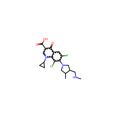 CNCC1CN(c2c(F)cc3c(=O)c(C(=O)O)cn(C4CC4)c3c2Cl)CC1C